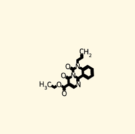 C=CCn1c(=O)n2c(=O)c(C(=O)OCC)cnc2c2ccccc21